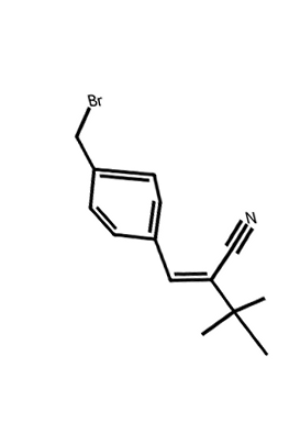 CC(C)(C)/C(C#N)=C/c1ccc(CBr)cc1